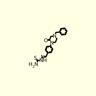 NC(=S)NN=Cc1ccc(N2CCN(Cc3ccccc3)CC2=O)cc1